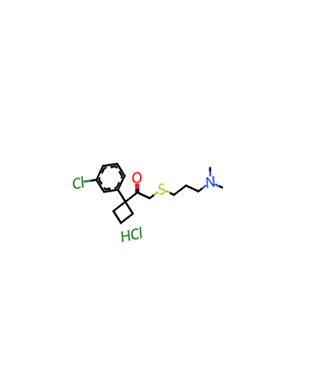 CN(C)CCCSCC(=O)C1(c2cccc(Cl)c2)CCC1.Cl